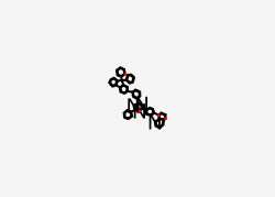 c1ccc(-c2nc(-c3ccc(-c4cccc5cccnc45)cc3)nc(-c3cccc(-c4ccc5c(c4)C(c4ccccc4)(c4ccccc4)c4ccccc4-5)c3)n2)cc1